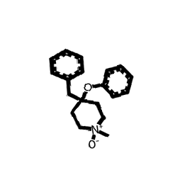 C[N+]1([O-])CCC(Cc2ccccc2)(Oc2ccccc2)CC1